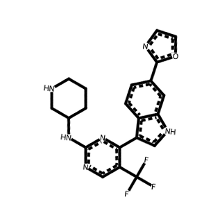 FC(F)(F)c1cnc(NC2CCCNC2)nc1-c1c[nH]c2cc(-c3ncco3)ccc12